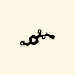 C#CCOC(=O)c1ccc(CCl)cc1